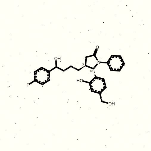 O=C1C[C@H](CCCC(O)c2ccc(F)cc2)[C@@H](c2ccc(CO)cc2O)N1c1ccccc1